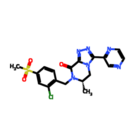 C[C@H]1Cn2c(nnc2-c2cnccn2)C(=O)N1Cc1ccc(S(C)(=O)=O)cc1Cl